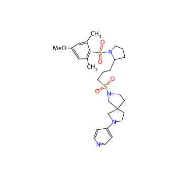 COc1cc(C)c(S(=O)(=O)N2CCCC2CCCS(=O)(=O)N2CCC3(CCN(c4ccncc4)C3)C2)c(C)c1